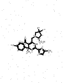 COC(=O)C1=C(CN2CC(F)(F)C[C@H]2C(=O)O)NC(c2nc(C)cs2)=N[C@]1(C)c1ccc(F)cc1